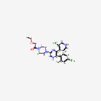 CCOCC(=O)N1CCN(c2cnc(-c3ccc(F)cc3C)c(-c3ccncc3Cl)n2)CC1